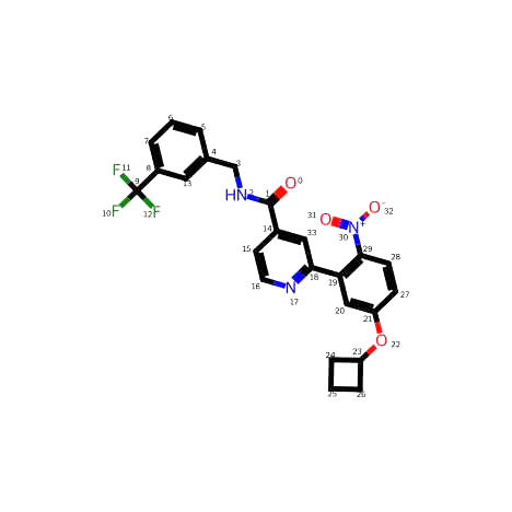 O=C(NCc1cccc(C(F)(F)F)c1)c1ccnc(-c2cc(OC3CCC3)ccc2[N+](=O)[O-])c1